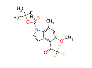 COc1cc(C)c2c(ccn2C(=O)OC(C)(C)C)c1C(=O)C(F)(F)F